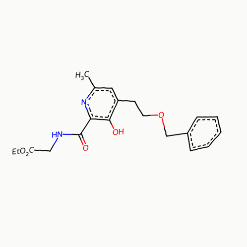 CCOC(=O)CNC(=O)c1nc(C)cc(CCOCc2ccccc2)c1O